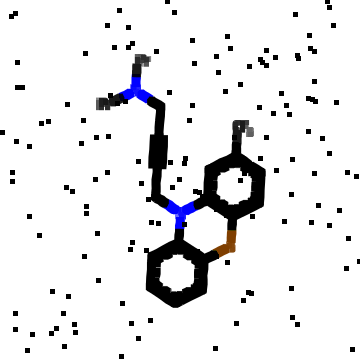 CC(C)N(CC#CCN1c2ccccc2Sc2ccc(C(F)(F)F)cc21)C(C)C